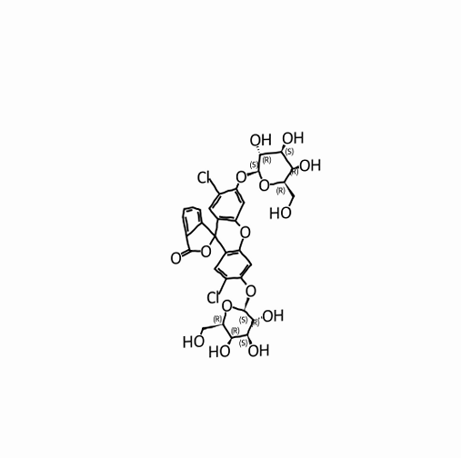 O=C1OC2(c3cc(Cl)c(O[C@@H]4O[C@H](CO)[C@H](O)[C@H](O)[C@H]4O)cc3Oc3cc(O[C@@H]4O[C@H](CO)[C@H](O)[C@H](O)[C@H]4O)c(Cl)cc32)c2ccccc21